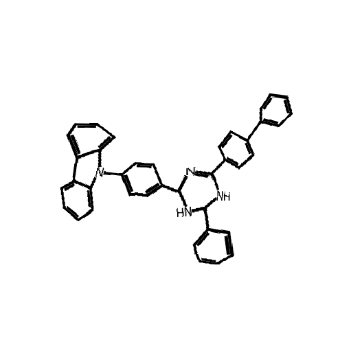 c1ccc(-c2ccc(C3=NC(c4ccc(-n5c6ccccc6c6ccccc65)cc4)NC(c4ccccc4)N3)cc2)cc1